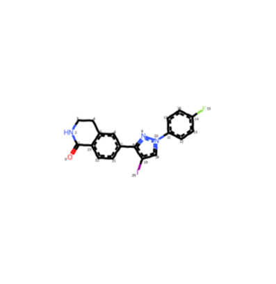 O=C1NCCc2cc(-c3nn(-c4ccc(F)cc4)cc3I)ccc21